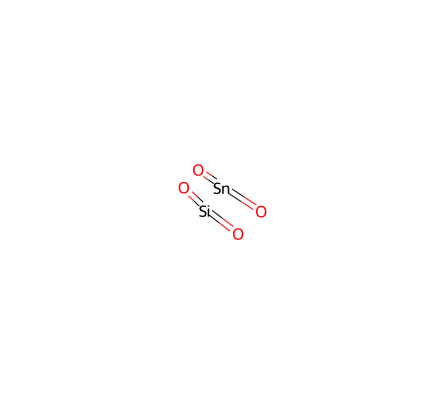 O=[Si]=O.[O]=[Sn]=[O]